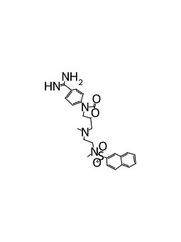 CN(CCN(C)S(=O)(=O)c1ccc2ccccc2c1)CC1CN(c2ccc(C(=N)N)cc2)C(=O)O1